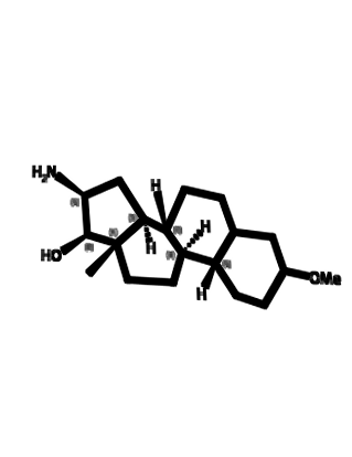 COC1CC[C@H]2C(CC[C@@H]3[C@@H]2CC[C@]2(C)[C@@H](O)[C@@H](N)C[C@@H]32)C1